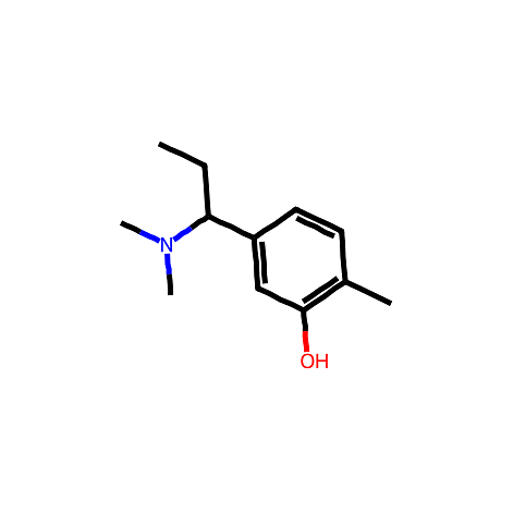 CCC(c1ccc(C)c(O)c1)N(C)C